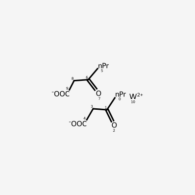 CCCC(=O)CC(=O)[O-].CCCC(=O)CC(=O)[O-].[W+2]